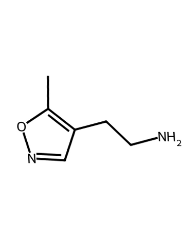 Cc1oncc1CCN